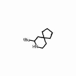 CC(C)(C)C1CC2(CCCC2)CCN1